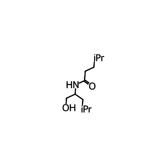 CC(C)CCC(=O)NC(CO)CC(C)C